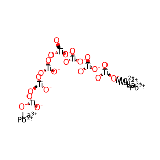 [La+3].[La+3].[Mg+2].[Mg+2].[O]=[Ti]([O-])[O-].[O]=[Ti]([O-])[O-].[O]=[Ti]([O-])[O-].[O]=[Ti]([O-])[O-].[O]=[Ti]([O-])[O-].[O]=[Ti]([O-])[O-].[O]=[Ti]([O-])[O-].[Pb+2].[Pb+2]